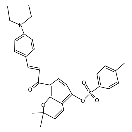 CCN(CC)c1ccc(C=CC(=O)c2ccc(OS(=O)(=O)c3ccc(C)cc3)c3c2OC(C)(C)C=C3)cc1